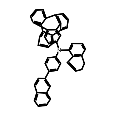 C1=Cc2c(cccc2N(c2ccc(-c3ccc4ccccc4c3)cc2)c2ccc3c(c2)-c2c4cccc2-c2cccc-3c2-c2ccccc2-4)CC1